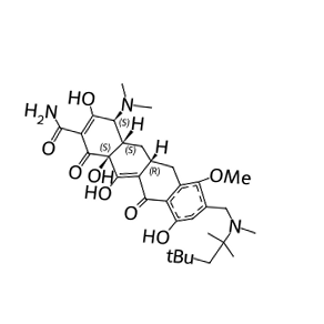 COc1c(CN(C)C(C)(C)CC(C)(C)C)cc(O)c2c1C[C@H]1C[C@H]3[C@H](N(C)C)C(O)=C(C(N)=O)C(=O)[C@@]3(O)C(O)=C1C2=O